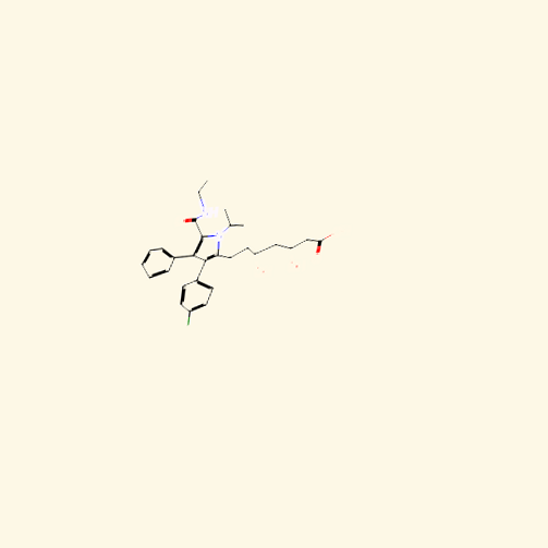 CCNC(=O)c1c(-c2ccccc2)c(-c2ccc(F)cc2)c(CC[C@@H](O)C[C@@H](O)CC(=O)O)n1C(C)C